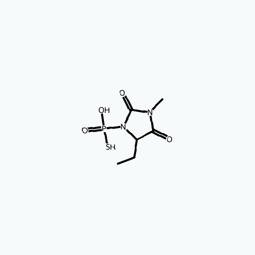 CCC1C(=O)N(C)C(=O)N1P(=O)(O)S